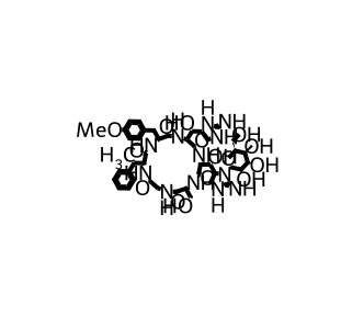 COc1ccc(CC2NC(=O)C(C(C)c3ccccc3)NC(=O)CNC(=O)C(CO)NC(=O)C(C(O)C3CNC(=N)N3[C@H]3O[C@H](CO)[C@@H](O)[C@H](O)[C@@H]3O)NC(=O)C(C(O)C3CNC(=N)N3)NC2=O)cc1